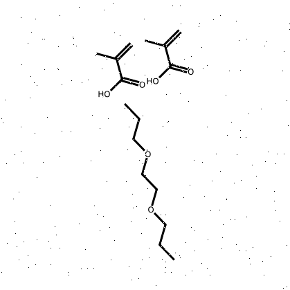 C=C(C)C(=O)O.C=C(C)C(=O)O.CCCOCCOCCC